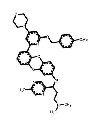 COc1ccc(COc2cc(N3CCOCC3)cc(-c3cccc4c3Oc3ccc(NC(CCN(C)C)c5cnc(C)cn5)cc3S4)n2)cc1